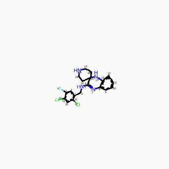 Fc1cc(CNC2=Nc3ccccc3NC23CCNCC3)c(Cl)cc1Cl